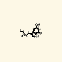 CCN(C)CCc1c[nH]c2c(F)cc(O)cc12